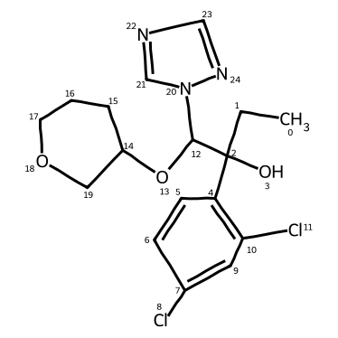 CCC(O)(c1ccc(Cl)cc1Cl)C(OC1CCCOC1)n1cncn1